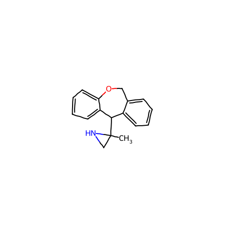 CC1(C2c3ccccc3COc3ccccc32)CN1